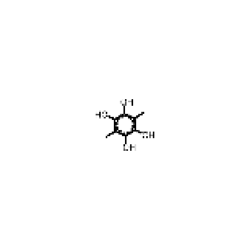 Cc1c(O)c(O)c(C)c(O)c1O